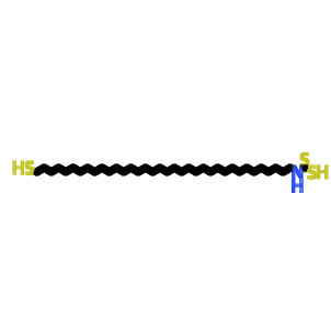 S=C(S)NCCCCCCCCCCCCCCCCCCCCCCCCCCCCCCCCCCCCS